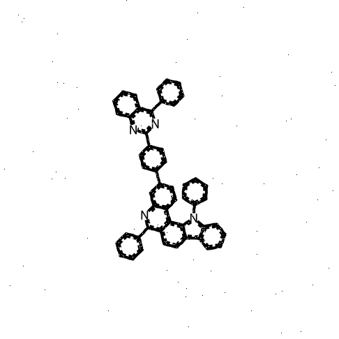 c1ccc(-c2nc(-c3ccc(-c4ccc5c(c4)nc(-c4ccccc4)c4ccc6c7ccccc7n(-c7ccccc7)c6c45)cc3)nc3ccccc23)cc1